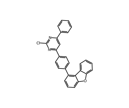 Clc1nc(-c2ccccc2)cc(-c2ccc(-c3cccc4oc5ccccc5c34)cc2)n1